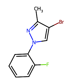 Cc1nn(-c2ccccc2F)cc1Br